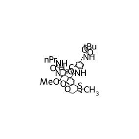 CCCNC(=O)c1ccc(-c2cc3c(cc2C(=O)Nc2ccc(CNC(=O)OC(C)(C)C)cc2C)-c2sc(C)cc2CCO3)c(C(=O)OC)n1